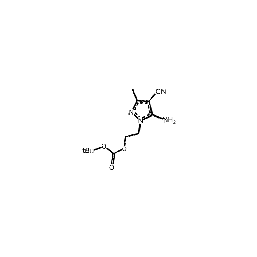 Cc1nn(CCOC(=O)OC(C)(C)C)c(N)c1C#N